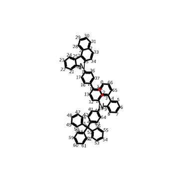 c1ccc(-c2ccccc2N(c2ccc(-c3ccc(-n4c5ccccc5c5c6ccccc6ccc54)cc3)cc2)c2ccc(C(c3ccccc3)(c3ccccc3)c3ccccc3)cc2)cc1